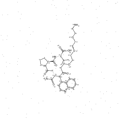 CC(C)[C@H](NC(=O)[C@@H]1CCCN1C(=O)C[C@@H](C(N)=O)N(C(=O)CCOCCOCCOCCN)c1ccnc2ccccc12)C(=O)O